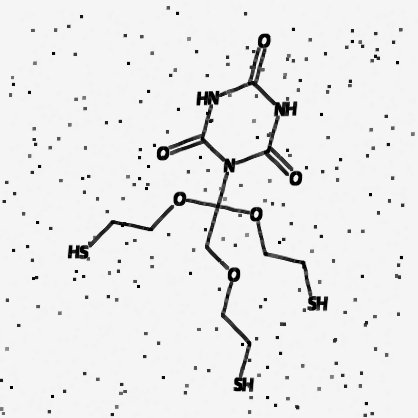 O=c1[nH]c(=O)n(C(COCCS)(OCCS)OCCS)c(=O)[nH]1